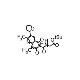 Cn1c(=O)c(C(=O)NCC(=O)OC(C)(C)C)c(O)c2cc(C3CCCO3)c(C(F)(F)F)nc21